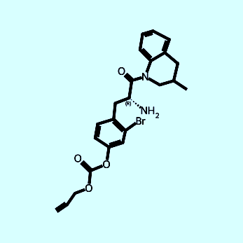 C=CCOC(=O)Oc1ccc(C[C@@H](N)C(=O)N2CC(C)Cc3ccccc32)c(Br)c1